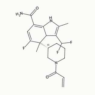 C=CC(=O)N1CCC[C@@H](C2(C)C(F)=CC(C(N)=O)=C3NC(C)=C(C(F)F)C32)C1